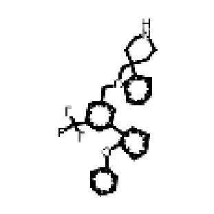 FC(F)(F)c1cc(COCC2(c3ccccc3)CCNCC2)cc(-c2ccccc2Oc2ccccc2)c1